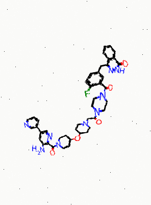 Nc1cc(-c2cccnc2)cnc1C(=O)N1CCC(OC2CCN(CC(=O)N3CCN(C(=O)c4cc(Cc5n[nH]c(=O)c6ccccc56)ccc4F)CC3)CC2)CC1